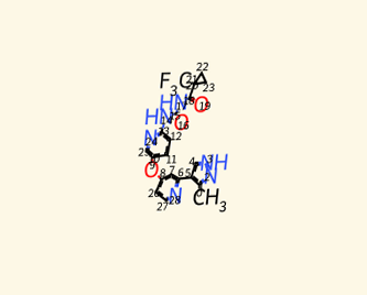 Cc1n[nH]cc1-c1cc(Oc2ccc(NC(=O)NC(=O)C3(C(F)(F)F)CC3)nc2)ccn1